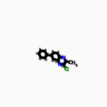 Cc1nc2ccc(-c3ccccc3)cc2nc1Cl